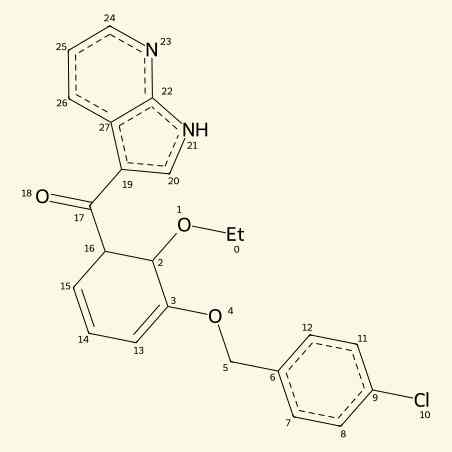 CCOC1C(OCc2ccc(Cl)cc2)=CC=CC1C(=O)c1c[nH]c2ncccc12